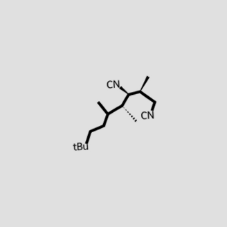 [C-]#[N+]C[C@H](C)[C@H]([N+]#[C-])[C@H](C)C(C)CCC(C)(C)C